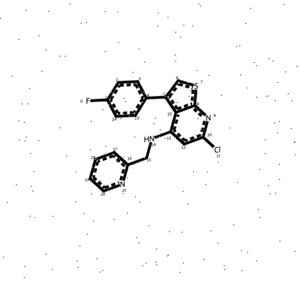 Fc1ccc(-c2csc3nc(Cl)cc(NCc4ccccn4)c23)cc1